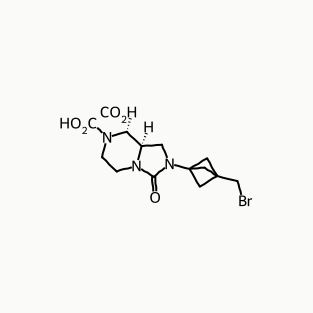 O=C(O)[C@@H]1[C@H]2CN(C34CC(CBr)(C3)C4)C(=O)N2CCN1C(=O)O